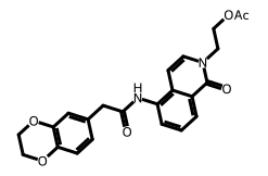 CC(=O)OCCn1ccc2c(NC(=O)Cc3ccc4c(c3)OCCO4)cccc2c1=O